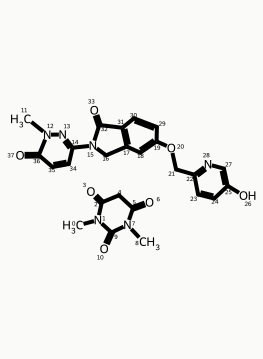 CN1C(=O)CC(=O)N(C)C1=O.Cn1nc(N2Cc3cc(OCc4ccc(O)cn4)ccc3C2=O)ccc1=O